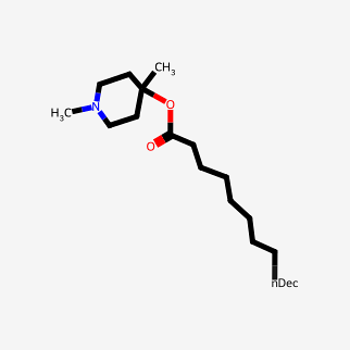 CCCCCCCCCCCCCCCCCC(=O)OC1(C)CCN(C)CC1